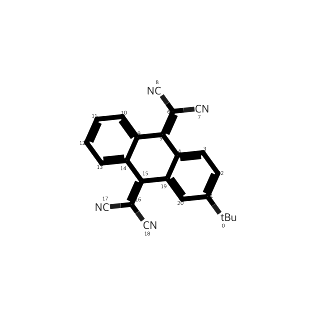 CC(C)(C)c1ccc2c(=C(C#N)C#N)c3ccccc3c(=C(C#N)C#N)c2c1